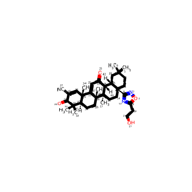 CC1(C)CC[C@]2(c3noc(CCO)n3)CC[C@]3(C)[C@H](C(=O)C=C4[C@@]5(C)C=C(C#N)C(=O)C(C)(C)[C@@H]5CC[C@]43C)[C@@H]2C1